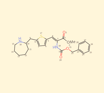 COC(=O)C(=Cc1ccc(CC2CCCCCN2)s1)NC(=O)OCc1ccccc1